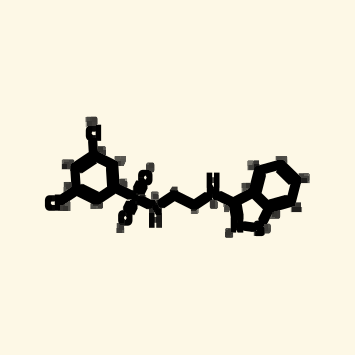 O=S(=O)(NCCNc1nsc2ccccc12)c1cc(Cl)cc(Cl)c1